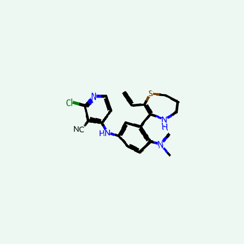 C=CC1=C(c2cc(Nc3ccnc(Cl)c3C#N)ccc2N(C)C)NCCCS1